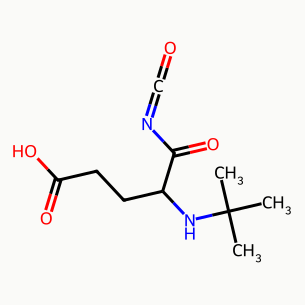 CC(C)(C)NC(CCC(=O)O)C(=O)N=C=O